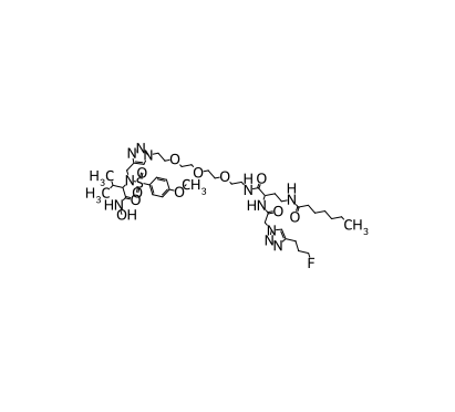 CCCCCCC(=O)NCCC(NC(=O)Cn1cc(CCCF)nn1)C(=O)NCCOCCOCCOCCn1cc(CN(C(C(=O)NO)C(C)C)S(=O)(=O)c2ccc(OC)cc2)nn1